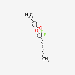 CCCCCCCCCc1ccc(OC(=O)c2ccc(CCC)cc2)c(F)c1F